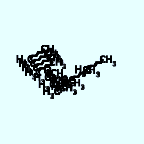 CC(C)=O.CC(C)=O.CC(C)=O.CC(C)=O.CCCCCC.CCCCCC.CCCCCC.CCCCCC.CCCCCC.CCCCCC